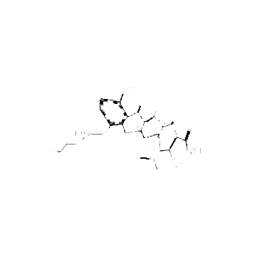 CN(C)[C@H]1C(O)=C(C(N)=O)C(=O)[C@@]2(O)C(O)=C3C(=O)c4c(O)ccc(CNOCCF)c4C[C@H]3C[C@@H]12